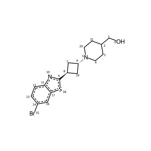 OCC1CCN([C@H]2C[C@H](c3nc4ccc(Br)cc4s3)C2)CC1